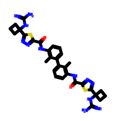 Cc1c(NC(=O)c2nnc(C3(NC(=N)N)CCC3)s2)cccc1-c1cccc(NC(=O)c2nnc(C3(NC(=N)N)CCC3)s2)c1C